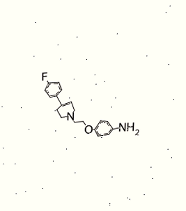 Nc1ccc(OCCN2CC=C(c3ccc(F)cc3)CC2)cc1